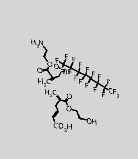 C=C(CC=CC(=O)O)C(=O)OCCO.C=C(CS(=O)(=O)C(F)(F)C(F)(F)C(F)(F)C(F)(F)C(F)(F)C(F)(F)C(F)(F)C(F)(F)F)C(=O)OCCN